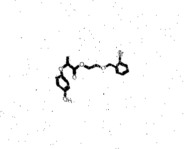 CC(Oc1ccc(O)cc1)C(=O)OCCOCc1ccccc1Br